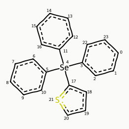 c1ccc([Se](c2ccccc2)(c2ccccc2)c2cccs2)cc1